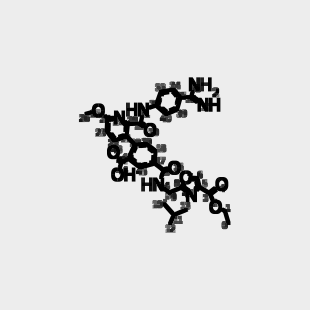 CCOC(=O)c1coc([C@H](CC(C)C)NC(=O)c2ccc(-c3ccc(OC)nc3C(=O)Nc3ccc(C(=N)N)cc3)c(C(=O)O)c2)n1